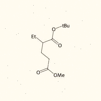 [CH2]CC(CCC(=O)OC)C(=O)OC(C)(C)C